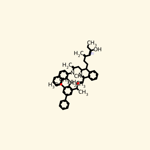 C=CC1=NC(CC(=C)N(C)c2ccc3ccccc3c2Nc2c(C(C)C)cc(-c3ccccc3)cc2C(C)C)C(CCC(=C)/C=C(/O)CC)c2ccccc21